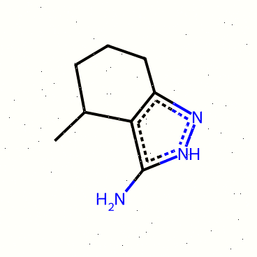 CC1CCCc2n[nH]c(N)c21